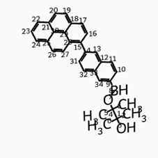 CC(C)(O)C(C)(C)OBc1ccc2cc(-c3ccc4ccc5cccc6ccc3c4c56)ccc2c1